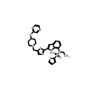 CCN(c1cccc2cc(-c3ncc(CN4CCC(Oc5cnccn5)CC4)s3)[nH]c12)S(=O)(=O)c1cccs1